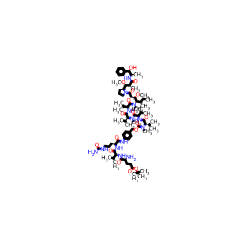 CC[C@H](C)[C@@H]([C@@H](CC(=O)N1CCC[C@H]1[C@H](OC)[C@@H](C)C(=O)N[C@H](C)[C@@H](O)c1ccccc1)OC)N(C)C(=O)[C@@H](NC(=O)[C@H](C(C)C)N(C)C(=O)C(NC(=O)[C@H](C(C)C)N(C)C(=O)OCc1ccc(NC(=O)[C@H](CCCNC(N)=O)NC(=O)[C@@H](NC(=O)[C@@H](N)CCC(=O)OC(C)(C)C)C(C)C)cc1)C(C)C)C(C)C